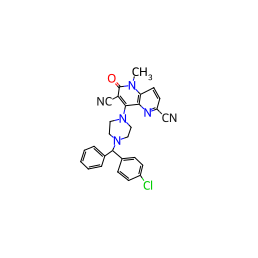 Cn1c(=O)c(C#N)c(N2CCN(C(c3ccccc3)c3ccc(Cl)cc3)CC2)c2nc(C#N)ccc21